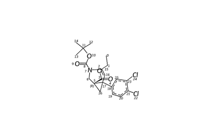 CCOC(=O)[C@@]12CN(C(=O)OC(C)(C)C)C=CC1(c1ccc(Cl)c(Cl)c1)C2